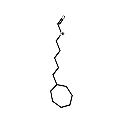 O=[C]NCCCCCC1CCCCCC1